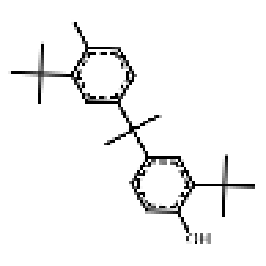 Cc1ccc(C(C)(C)c2ccc(O)c(C(C)(C)C)c2)cc1C(C)(C)C